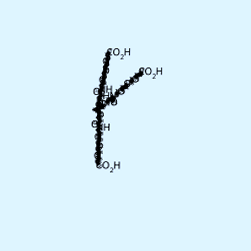 O=C(O)CCOCCOCCOCCNC(=O)CCOCC1(COCCC(=O)NCCOCCOCCOCCC(=O)O)CC1OCCC(=O)NCCOCCOCCOCCC(=O)O